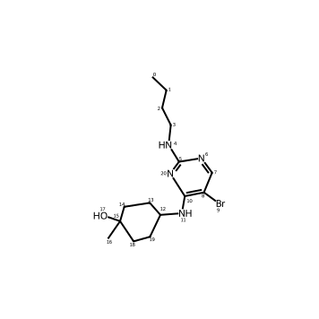 CCCCNc1ncc(Br)c(NC2CCC(C)(O)CC2)n1